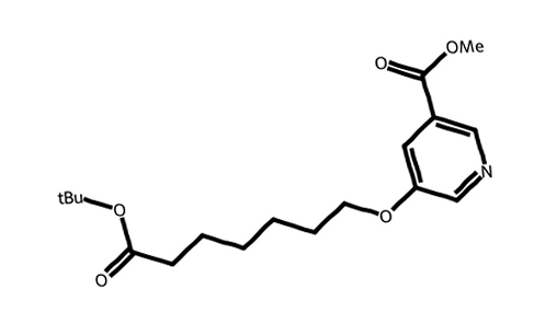 COC(=O)c1cncc(OCCCCCCC(=O)OC(C)(C)C)c1